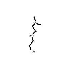 CNCCNCCN(C)C